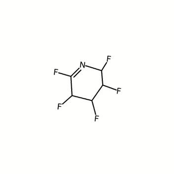 FC1=NC(F)C(F)C(F)C1F